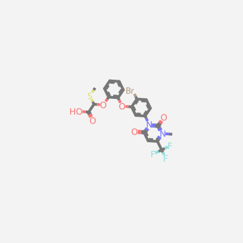 CSC(Oc1ccccc1Oc1cc(-n2c(=O)cc(C(F)(F)F)n(C)c2=O)ccc1Br)C(=O)O